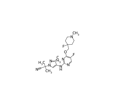 Cc1nn(C(C)(C)C#N)cc1Nc1ncc(F)c(OCC2(F)CCN(C)CC2)n1